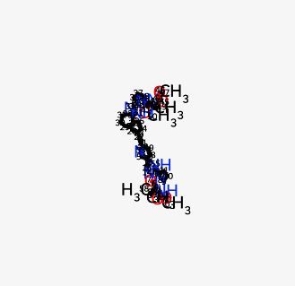 COC(=O)N[C@H](C(=O)N1CCC[C@H]1c1ncc(-c2ccc(C#Cc3ccc4c(c3)CCCc3nc([C@@H]5CCCN5C(=O)[C@@H](NC(=O)OC)C(C)C)[nH]c3-4)nc2)[nH]1)C(C)C